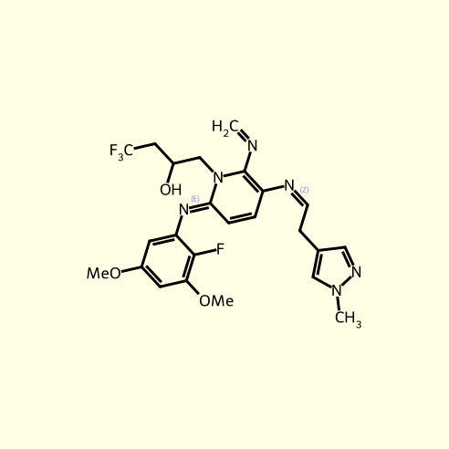 C=Nc1c(/N=C\Cc2cnn(C)c2)cc/c(=N\c2cc(OC)cc(OC)c2F)n1CC(O)CC(F)(F)F